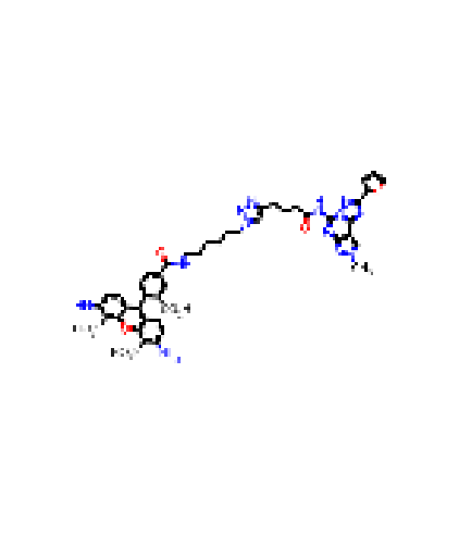 Cn1cc2c(nc(NC(=O)CCCc3cn(CCCCCCNC(=O)c4ccc(-c5c6ccc(=N)c(S(=O)(=O)O)c-6oc6c(S(=O)(=O)O)c(N)ccc56)c(C(=O)O)c4)nn3)n3nc(-c4ccco4)nc23)n1